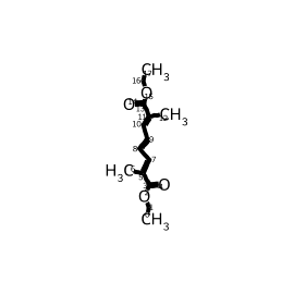 CCOC(=O)/C(C)=C/C=C/C=C(\C)C(=O)OCC